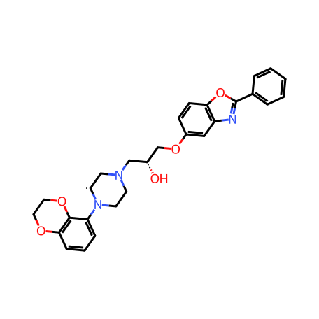 O[C@@H](COc1ccc2oc(-c3ccccc3)nc2c1)CN1C[CH]N(c2cccc3c2OCCO3)CC1